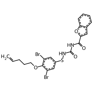 C=CCCCOc1c(Br)cc(SNC(=O)NC(=O)c2cc3ccccc3o2)cc1Br